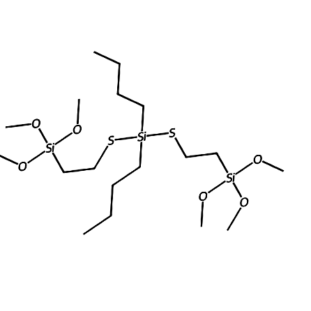 CCCC[Si](CCCC)(SCC[Si](OC)(OC)OC)SCC[Si](OC)(OC)OC